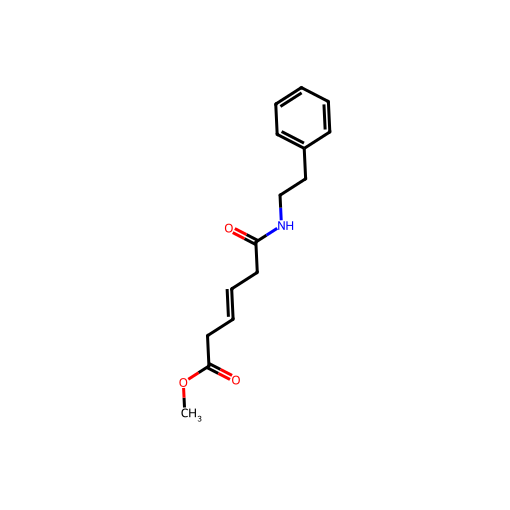 COC(=O)CC=CCC(=O)NCCc1ccccc1